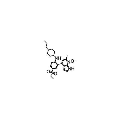 CCC[C@H]1CC[C@H](Nc2ccc(S(=O)(=O)CC)cc2-c2cc(C)[n+]([O-])c3[nH]ccc23)CC1